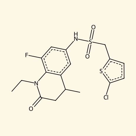 CCN1C(=O)CC(C)c2cc(NS(=O)(=O)Cc3ccc(Cl)s3)cc(F)c21